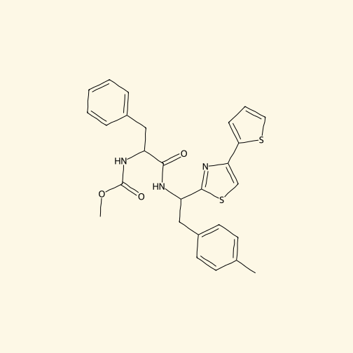 COC(=O)NC(Cc1ccccc1)C(=O)NC(Cc1ccc(C)cc1)c1nc(-c2cccs2)cs1